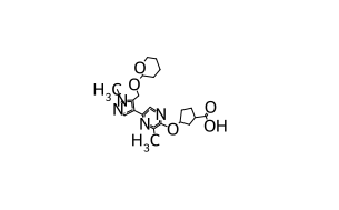 Cc1nc(-c2cnn(C)c2COC2CCCCO2)cnc1OC1CCC(C(=O)O)C1